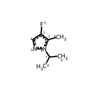 Cc1c(F)[c]nn1C(C)C